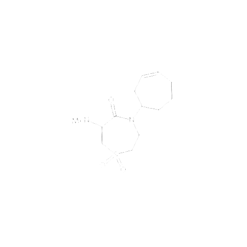 CNC1CS(=O)(=O)CCN(C2CC=CCCC2)C1=O